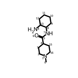 CN1CCC(C(=O)NC2CCCCC2N)CC1